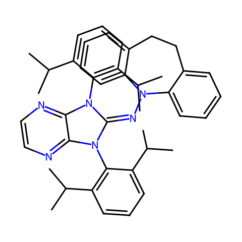 CC(C)c1cccc(C(C)C)c1-n1c(=NN2c3ccccc3CCc3ccccc32)n(-c2c(C(C)C)cccc2C(C)C)c2nccnc21